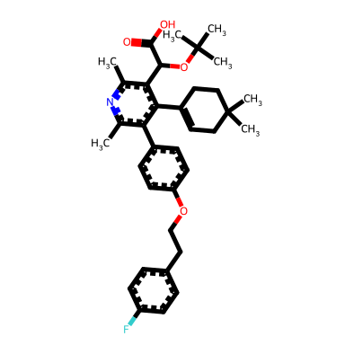 Cc1nc(C)c(C(OC(C)(C)C)C(=O)O)c(C2=CCC(C)(C)CC2)c1-c1ccc(OCCc2ccc(F)cc2)cc1